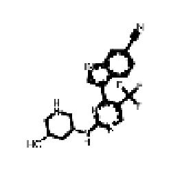 N#Cc1ccc2c(-c3nc(N[C@@H]4CNC[C@H](O)C4)ncc3C(F)(F)F)c[nH]c2c1